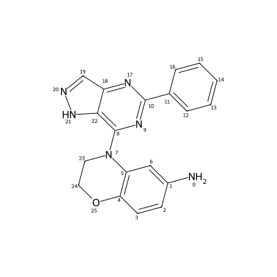 Nc1ccc2c(c1)N(c1nc(-c3ccccc3)nc3cn[nH]c13)CCO2